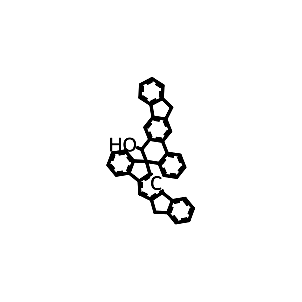 OC1c2cc3c(cc2-c2ccccc2C12c1ccccc1-c1cc4c(cc12)-c1ccccc1C4)Cc1ccccc1-3